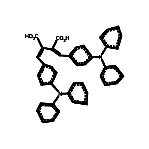 O=C(O)C(=Cc1ccc(N(c2ccccc2)c2ccccc2)cc1)C(=Cc1ccc(N(c2ccccc2)c2ccccc2)cc1)C(=O)O